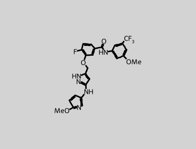 COc1cc(NC(=O)c2ccc(F)c(OCc3cc(Nc4ccc(OC)nc4)n[nH]3)c2)cc(C(F)(F)F)c1